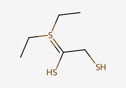 CCS(CC)=C(S)CS